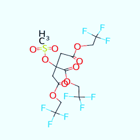 CS(=O)(=O)OC(CC(=O)OCC(F)(F)F)(CC(=O)OCC(F)(F)F)C(=O)OCC(F)(F)F